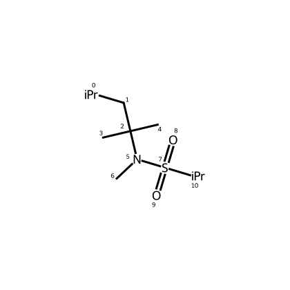 CC(C)CC(C)(C)N(C)S(=O)(=O)C(C)C